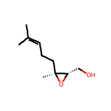 CC(C)=CCC[C@]1(C)O[C@H]1CO